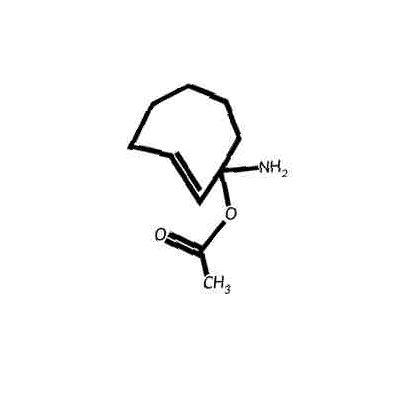 CC(=O)OC1(N)/C=C/CCCCC1